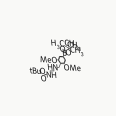 COc1cc(B2OC(C)(C)C(C)(C)O2)cc(OC)c1CNCCNC(=O)OC(C)(C)C